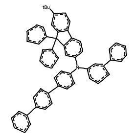 CC(C)(C)c1ccc2c(c1)C(c1ccccc1)(c1ccccc1)c1cc(N(c3ccc(-c4ccc(-c5ccccc5)cc4)cc3)c3cccc(-c4ccccc4)c3)ccc1-2